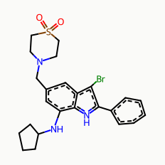 O=S1(=O)CCN(Cc2cc(NC3CCCC3)c3[nH]c(-c4ccccc4)c(Br)c3c2)CC1